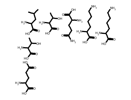 CC(C)CC(N)C(=O)O.CC(O)C(N)C(=O)O.CC(O)C(N)C(=O)O.NC(=O)CCC(N)C(=O)O.NC(CCC(=O)O)C(=O)O.NCCCCC(N)C(=O)O.NCCCCC(N)C(=O)O